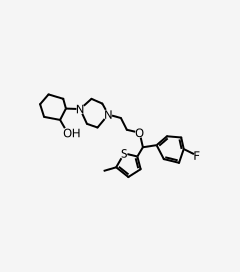 Cc1ccc(C(OCCN2CCN(C3CCCCC3O)CC2)c2ccc(F)cc2)s1